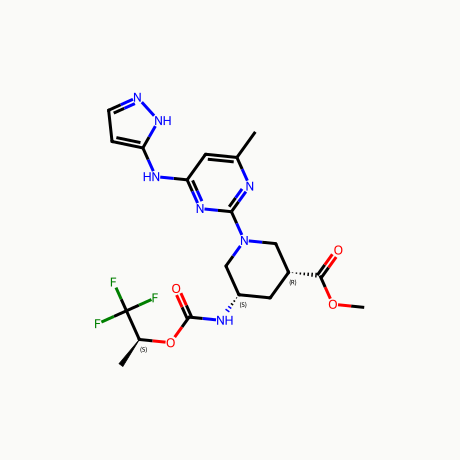 COC(=O)[C@@H]1C[C@H](NC(=O)O[C@@H](C)C(F)(F)F)CN(c2nc(C)cc(Nc3ccn[nH]3)n2)C1